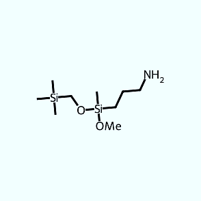 CO[Si](C)(CCCN)OC[Si](C)(C)C